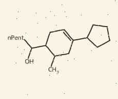 CCCCCC(O)C1CC=C(C2CCCC2)CC1C